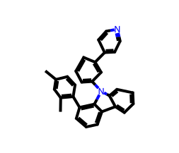 Cc1ccc(-c2cccc3c4ccccc4n(-c4cccc(-c5ccncc5)c4)c23)c(C)c1